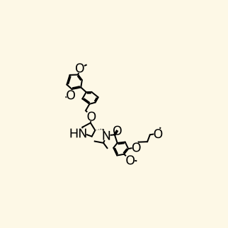 COCCCOc1cc(C(=O)N(C[C@@H]2CNC[C@H]2OCc2cccc(-c3cc(OC)ccc3OC)c2)C(C)C)ccc1OC